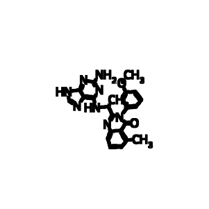 COc1cccc(-n2c(C(C)Nc3nc(N)nc4[nH]cnc34)nc3cccc(C)c3c2=O)c1